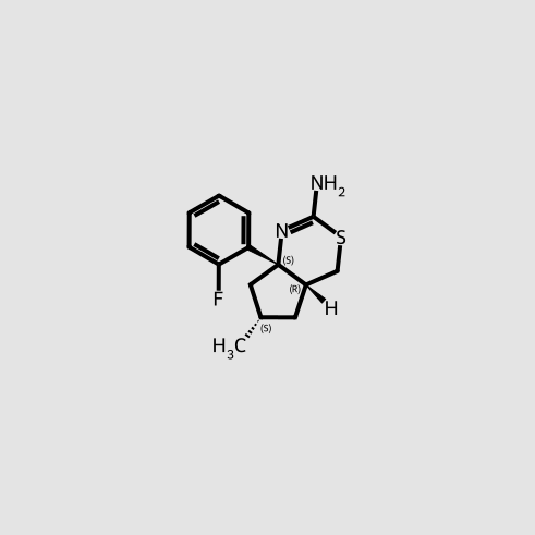 C[C@H]1C[C@H]2CSC(N)=N[C@@]2(c2ccccc2F)C1